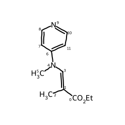 CCOC(=O)C(C)=CN(C)c1ccncc1